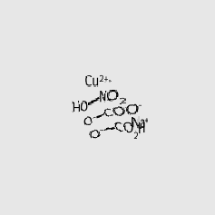 O=C([O-])O.O=C([O-])[O-].O=[N+]([O-])O.[Cu+2].[Na+]